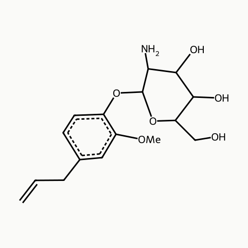 C=CCc1ccc(OC2OC(CO)C(O)C(O)C2N)c(OC)c1